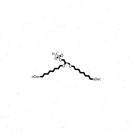 CCCCCCCCCCCCCCCCCCOC[C@H](COS(C)(=O)=O)OCCCCCCCCCCCCCCCCCC